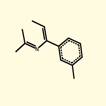 C/C=C(\N=C(C)C)c1cccc(C)c1